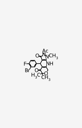 CC(=O)n1c(=O)c2c(n1C)NC1=C(C(=O)C(C)(C)OC1)C2c1ccc(F)c(Br)c1